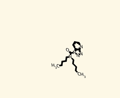 CCCCCN(CCCCC)C(=O)n1nnc2ncccc21